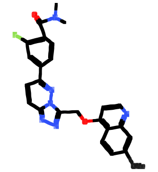 COc1ccc2c(OCc3nnc4ccc(-c5ccc(C(=O)N(C)C)c(F)c5)nn34)ccnc2c1